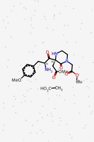 CC(=O)O.COC(=O)C[C@@]1(C(=O)[C@@H](N)Cc2ccc(OC)cc2)NCCN(CC(=O)OC(C)(C)C)C1=O